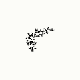 CCc1c2c(nc3ccc(OC(=O)OC(C)(C)C)cc13)-c1cc3c(c(=O)n1C2)COC(=O)[C@@]3(CC)OC(=O)[C@H](C)NCl